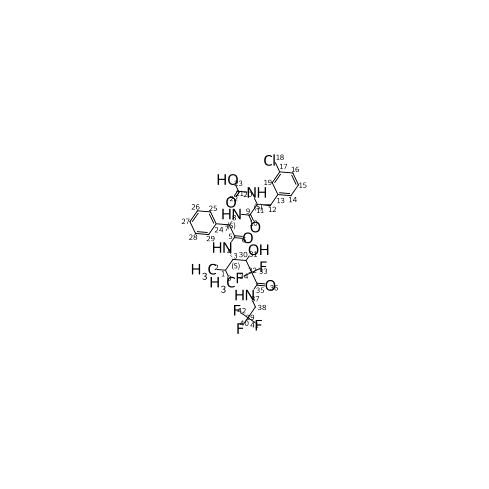 CC(C)[C@H](NC(=O)[C@@H](NC(=O)[C@H](Cc1cccc(Cl)c1)NC(=O)O)c1ccccc1)C(O)C(F)(F)C(=O)NCC(F)(F)F